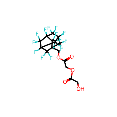 O=C(CO)OCC(=O)OCC12C(F)(F)C3(F)C(F)(F)C(F)(C(F)(F)C(F)(C3(F)F)C1(F)F)C2(F)F